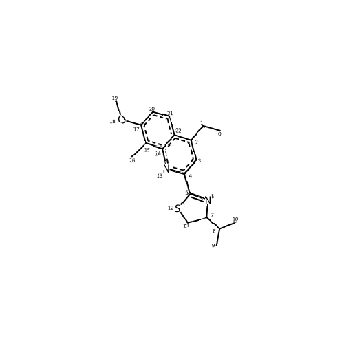 CCc1cc(C2=NC(C(C)C)CS2)nc2c(C)c(OC)ccc12